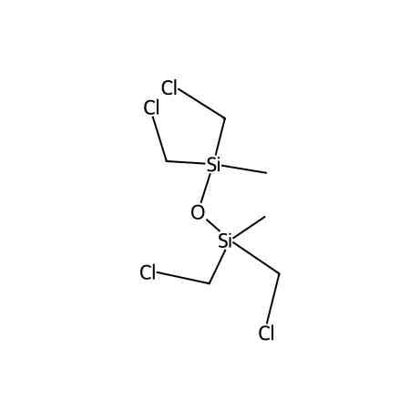 C[Si](CCl)(CCl)O[Si](C)(CCl)CCl